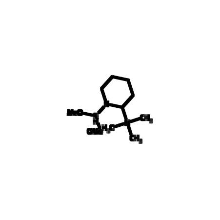 CO[SiH](OC)N1CCCCC1[Si](C)(C)C